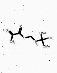 C=C(C)C(=O)OC[SiH2]C(C)(OC)OC